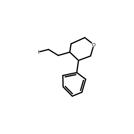 ICCC1CCOCC1c1ccccc1